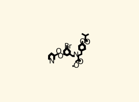 COCC(=O)C(Cc1ccc(OC(=O)C(C)C)cc1)N=Cc1cc(Br)cc(OC(=O)c2cccnc2)c1